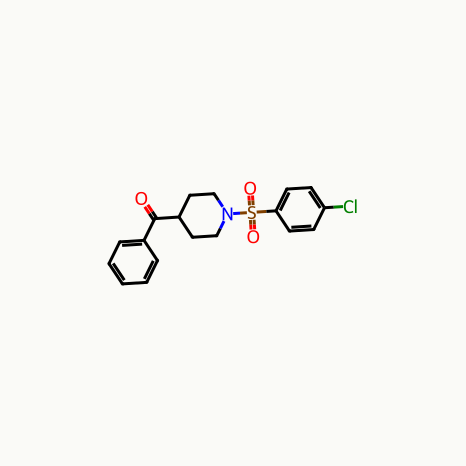 O=C(c1ccccc1)C1CCN(S(=O)(=O)c2ccc(Cl)cc2)CC1